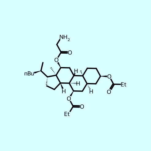 CCCC[C@@H](C)[C@H]1CC[C@H]2[C@@H]3[C@H](OC(=O)CC)C[C@@H]4C[C@H](OC(=O)CC)CC[C@]4(C)[C@H]3C[C@H](OC(=O)CN)[C@]12C